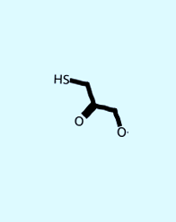 [O]CC(=O)CS